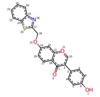 O=c1c(-c2ccc(O)cc2)coc2cc(OCc3nc4ccccc4s3)ccc12